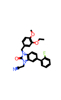 CCOc1cc(Cn2c(=O)n(CC#N)c3cc(-c4ccccc4F)ccc32)ccc1OC